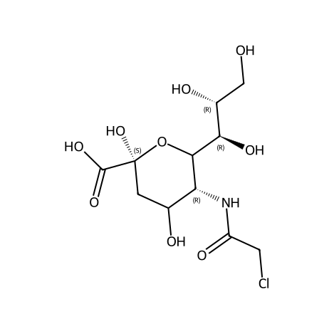 O=C(CCl)N[C@@H]1C(O)C[C@@](O)(C(=O)O)OC1[C@H](O)[C@H](O)CO